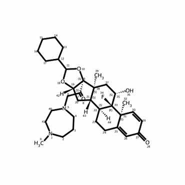 CN1CCCN(CC(=O)[C@@]23OC(C4CCCCC4)O[C@H]2C[C@H]2[C@@H]4CCC5=CC(=O)C=C[C@]5(C)[C@@]4(F)[C@@H](O)C[C@@]23C)CC1